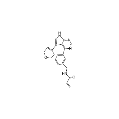 C=CC(=O)NCc1cccc(-c2ncnc3[nH]cc(C4=CCOCC4)c23)c1